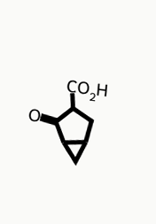 O=C(O)C1CC2CC2C1=O